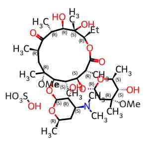 CC[C@H]1OC(=O)[C@H](C)[C@@H](O[C@H]2C[C@@](C)(OC)[C@@H](O)[C@H](C)O2)[C@H](C)[C@@H](O[C@@H]2O[C@H](C)C[C@H](N(C)C)[C@H]2O)[C@](C)(OC)C[C@@H](C)C(=O)[C@H](C)[C@@H](O)[C@]1(C)O.O=S(=O)(O)O